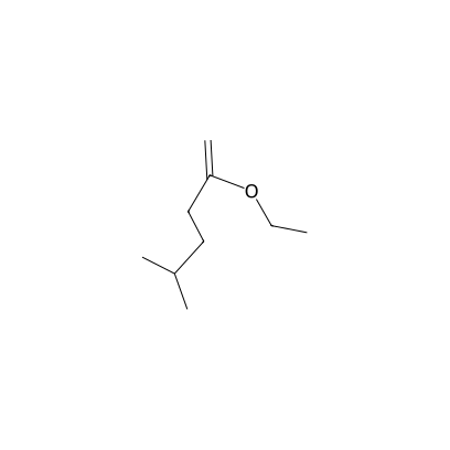 C=C(CCC(C)C)OCC